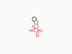 O=C(O)C(CC1Cc2ccccc2C1)C(=O)O